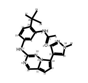 CC(=O)Nc1cc(Nc2ncc3ccc(-c4cnn(C)c4)n3n2)ccc1C(C)(C)C